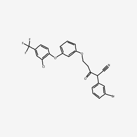 N#CC(C(=O)CCOc1cccc(Oc2ccc(C(F)(F)F)cc2Cl)c1)c1cccc(Br)c1